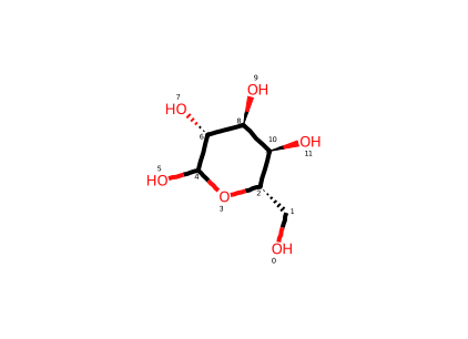 OC[C@@H]1OC(O)[C@H](O)[C@@H](O)[C@H]1O